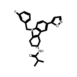 CC(C)C(=O)N[C@@H]1CCc2c(c3cc(-c4ccno4)ccc3n2Cc2cccc(F)c2)C1